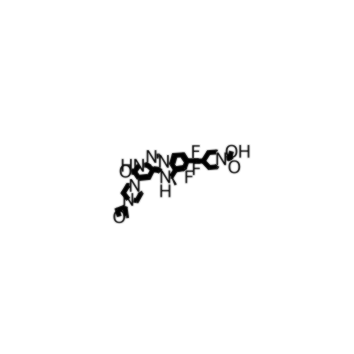 C[C@@H](Nc1ncnc2[nH]c(=O)c(N3CCN(C4COC4)CC3)cc12)c1cccc(C(F)(F)C2CCN(C(=O)O)CC2)c1F